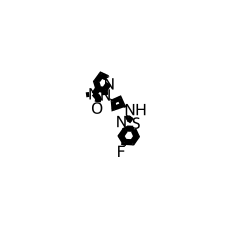 Cn1c(=O)n([C@H]2C[C@H](Nc3nc4cc(F)ccc4s3)C2)c2ncccc21